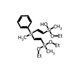 CCO[Si](C)(O)C=C[Si](C)(C=C[Si](C)(OCC)OCC)c1ccccc1